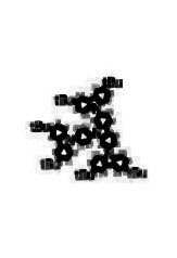 CC(C)(C)c1ccc2c(c1)c1cc(C(C)(C)C)ccc1n2-c1ccc(-n2c3cc(-n4c5ccc(C(C)(C)C)cc5c5cc(C(C)(C)C)ccc54)ccc3c3ccc(-n4c5ccc(C(C)(C)C)cc5c5cc(C(C)(C)C)ccc54)cc32)cc1